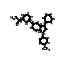 Cc1ccc(-n2cc(-c3ccccc3)c3cc(-c4cccc(C(N)=O)c4)cnc32)cc1